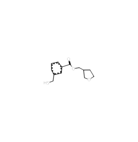 O=C(OCC1CCOC1)c1cccc(CS)c1